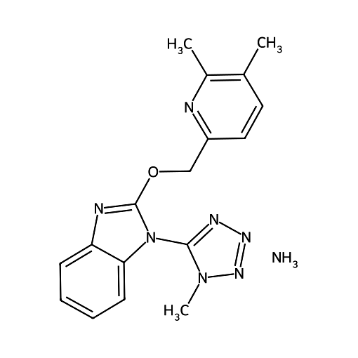 Cc1ccc(COc2nc3ccccc3n2-c2nnnn2C)nc1C.N